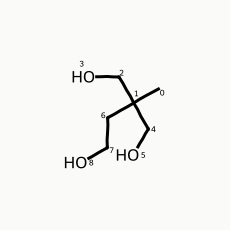 CC(CO)(CO)CCO